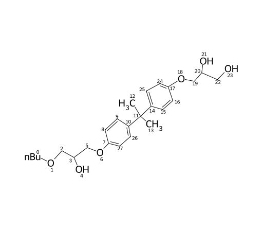 CCCCOCC(O)COc1ccc(C(C)(C)c2ccc(OCC(O)CO)cc2)cc1